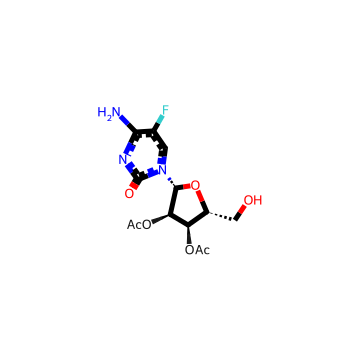 CC(=O)O[C@@H]1[C@H](OC(C)=O)[C@@H](CO)O[C@H]1n1cc(F)c(N)nc1=O